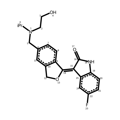 CC(C)N(CCO)Cc1ccc2c(c1)COC2=C1C(=O)Nc2ccc(F)cc21